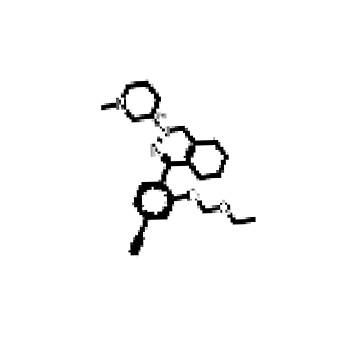 C#Cc1ccc(C2=NN([C@@H]3CCCN(C)C3)CC3=C2CCCC3)c(OCOCC)c1